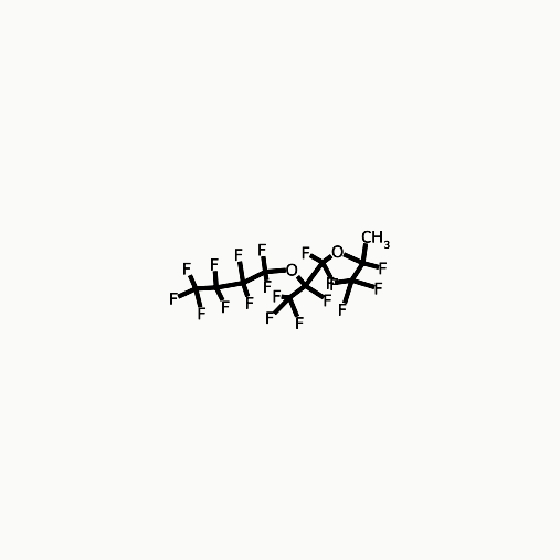 CC(F)(OC(F)(F)C(F)(OC(F)(F)C(F)(F)C(F)(F)C(F)(F)F)C(F)(F)F)C(F)(F)F